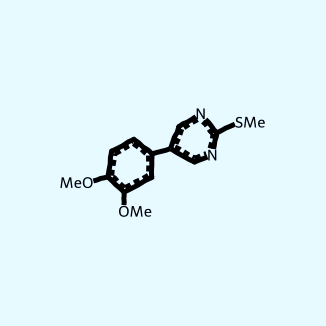 COc1ccc(-c2cnc(SC)nc2)cc1OC